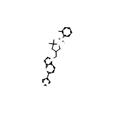 CC1(C)CC(Cn2ccc3nc(-c4cn[nH]c4)ccc32)CN1S(=O)(=O)c1ccccc1F